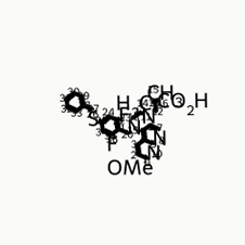 COc1ccc2c3c(cnc2n1)N(CC(C)(C)C(=O)O)CCN3Cc1c(F)cc(SCc2ccccc2)cc1F